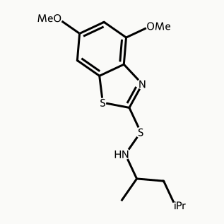 COc1cc(OC)c2nc(SNC(C)CC(C)C)sc2c1